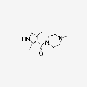 Cc1[c][nH]c(C)c1C(=O)N1CCN(C)CC1